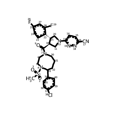 CS(=O)(=O)N1CCN(C(=O)[C@@H]2CN(c3ccc(C#N)nn3)C[C@H]2c2ccc(F)cc2F)CCCC1c1ccc(Cl)cc1